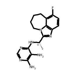 C[C@H](Nc1ncnc(N)c1N)c1nc2ccc(F)c3c2n1CCCC3